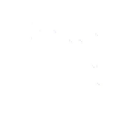 O=C(Nc1ccc(F)cn1)c1cnc2ccc(N3CC(F)(F)C3)nn12